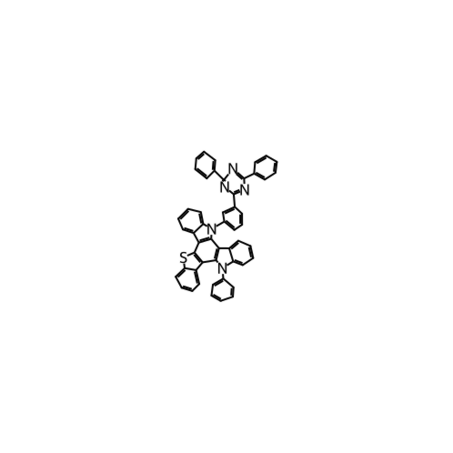 c1ccc(-c2nc(-c3ccccc3)nc(-c3cccc(-n4c5ccccc5c5c6sc7ccccc7c6c6c(c7ccccc7n6-c6ccccc6)c54)c3)n2)cc1